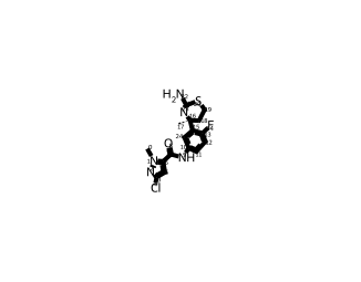 Cn1nc(Cl)cc1C(=O)Nc1ccc(F)c([C@]2(C)CCSC(N)=N2)c1